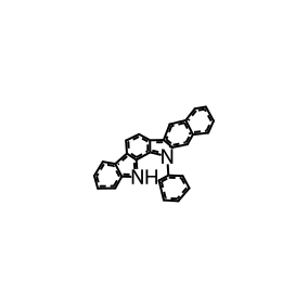 c1ccc(-n2c3cc4ccccc4cc3c3ccc4c5ccccc5[nH]c4c32)cc1